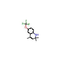 CC1=CC(C)(C)Nc2ccc(OC(F)(F)F)cc21